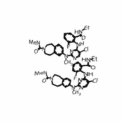 CCNC(=O)c1cccc(F)c1Nc1nc(N(C)c2ccc3c(c2)CCN(C(=O)NC)CC3)ncc1Cl.CCNC(=O)c1cccc(F)c1Nc1nc(N(C)c2ccc3c(c2)CCN(C(=O)NC)CC3)ncc1Cl